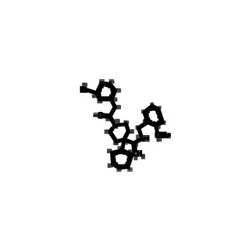 C=C(NCc1ccccc1OC)C1(c2ccccc2)CCN(C(=O)Cc2cccc(CC)c2)CC1